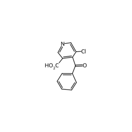 O=C(O)c1cncc(Cl)c1C(=O)c1ccccc1